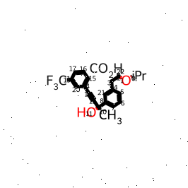 CC(C)OC(Cc1cccc(C(C)(O)C#Cc2cccc(C(F)(F)F)c2)c1)C(=O)O